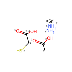 CC(=O)O.N.N.O=C(O)CS.[SrH2]